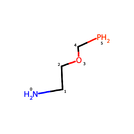 NCCOCP